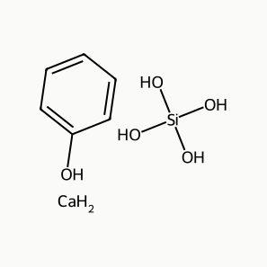 O[Si](O)(O)O.Oc1ccccc1.[CaH2]